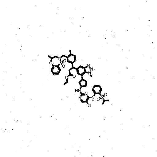 CCOC(=O)CC(c1ccc(C)c(CN2CC(C)Oc3ccccc3S2(=O)=O)c1)c1cc(C2CCC(Nc3ncc(Cl)c(Nc4ccccc4S(=O)(=O)C(C)C)n3)C2)c2c(c1)nnn2C